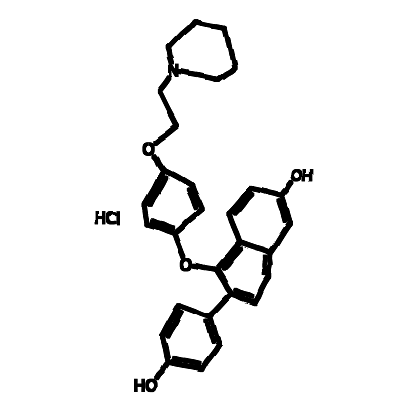 Cl.Oc1ccc(-c2ccc3cc(O)ccc3c2Oc2ccc(OCCN3CCCCC3)cc2)cc1